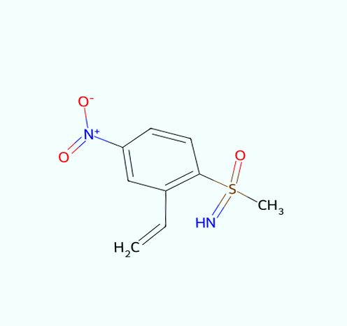 C=Cc1cc([N+](=O)[O-])ccc1S(C)(=N)=O